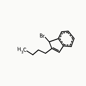 CCCCC1=Cc2ccccc2C1Br